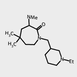 CCN1CCCC(CN2CCC(C)(C)CC(NC)C2=O)C1